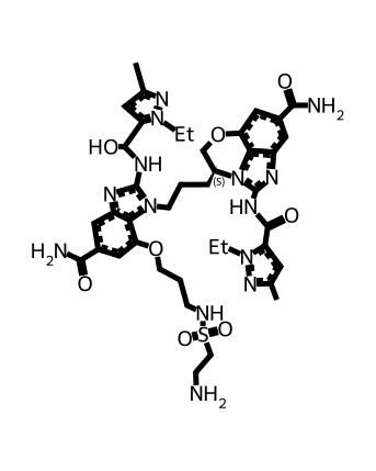 CCn1nc(C)cc1C(=O)Nc1nc2cc(C(N)=O)cc3c2n1[C@@H](CCCn1c(NC(O)c2cc(C)nn2CC)nc2cc(C(N)=O)cc(OCCCNS(=O)(=O)CCN)c21)CO3